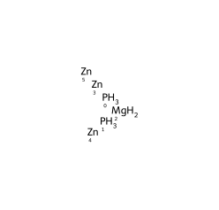 P.P.[MgH2].[Zn].[Zn].[Zn]